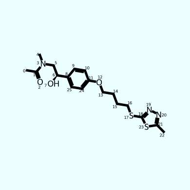 CC(=O)N(C)C[C@H](O)c1ccc(OCCCCSc2nnc(C)s2)cc1